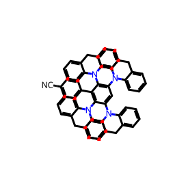 N#Cc1ccc(-c2c(N3c4ccccc4Cc4ccccc43)c(N3c4ccccc4Cc4ccccc43)cc(N3c4ccccc4Cc4ccccc43)c2N2c3ccccc3Cc3ccccc32)cc1